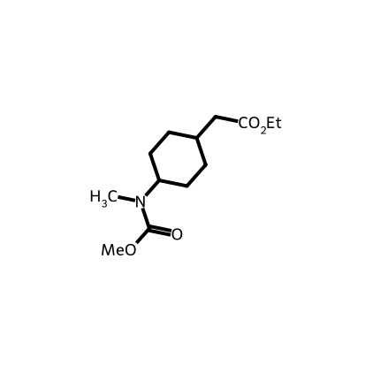 CCOC(=O)CC1CCC(N(C)C(=O)OC)CC1